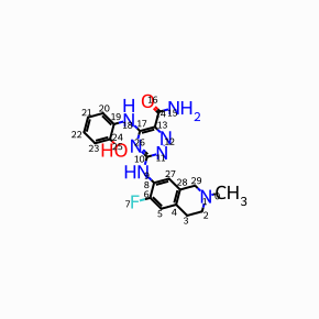 CN1CCc2cc(F)c(Nc3nnc(C(N)=O)c(Nc4ccccc4O)n3)cc2C1